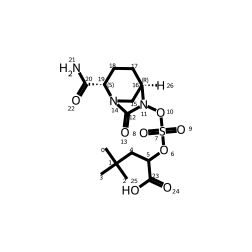 CC(C)(C)CC(OS(=O)(=O)ON1C(=O)N2C[C@H]1CC[C@H]2C(N)=O)C(=O)O